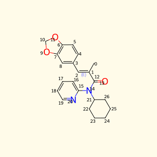 C/C(=C\c1ccc2c(c1)OCO2)C(=O)N(c1ccccn1)C1CCCCC1